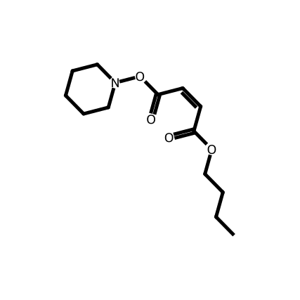 CCCCOC(=O)/C=C\C(=O)ON1CCCCC1